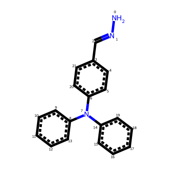 N/N=C/c1ccc(N(c2ccccc2)c2ccccc2)cc1